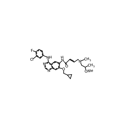 COC(C)CN(C)C/C=C/C(=O)Nc1cc2c(Nc3ccc(F)c(Cl)c3)ncnc2cc1OCC1CC1